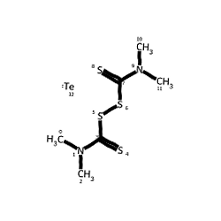 CN(C)C(=S)SSC(=S)N(C)C.[Te]